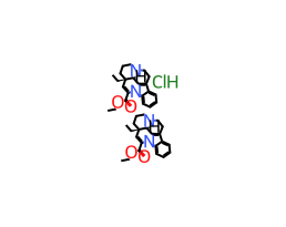 CCOC(=O)C1=C[C@]2(CC)CCCN3CCc4c(n1c1ccccc41)[C@@H]32.CCOC(=O)C1=C[C@]2(CC)CCCN3CCc4c(n1c1ccccc41)[C@@H]32.Cl